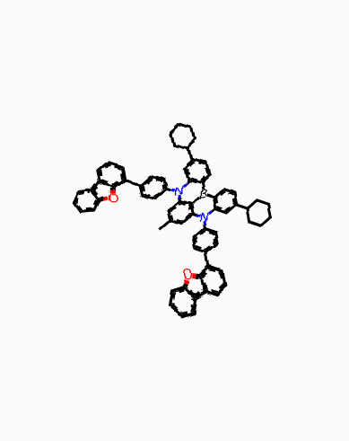 Cc1cc2c3c(c1)N(c1ccc(-c4cccc5c4oc4ccccc45)cc1)c1cc(C4CCCCC4)ccc1B3c1ccc(C3CCCCC3)cc1N2c1ccc(-c2cccc3c2oc2ccccc23)cc1